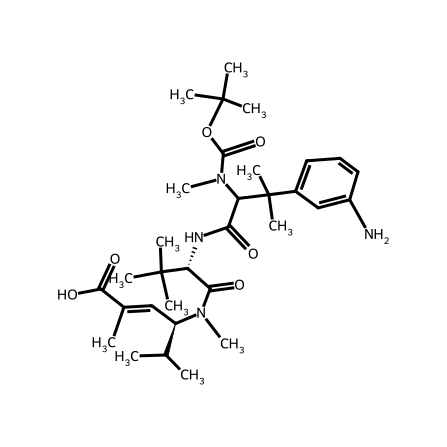 C/C(=C\[C@H](C(C)C)N(C)C(=O)[C@@H](NC(=O)C(N(C)C(=O)OC(C)(C)C)C(C)(C)c1cccc(N)c1)C(C)(C)C)C(=O)O